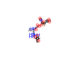 CC(=O)C(CCCNC(=N)NS(=O)(=O)c1c(C)c(C)c2c(c1C)CC(C)(C)O2)NC(=O)CCC(=O)OCOc1cc(N2CCOCC2)[o+]c2c(-c3ccc4c(c3)OCCO4)csc12